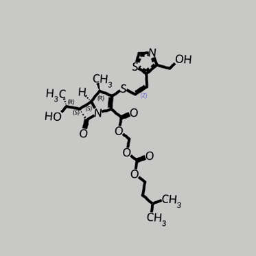 CC(C)CCOC(=O)OCOC(=O)C1=C(S/C=C\c2scnc2CO)[C@H](C)[C@@H]2[C@@H]([C@@H](C)O)C(=O)N12